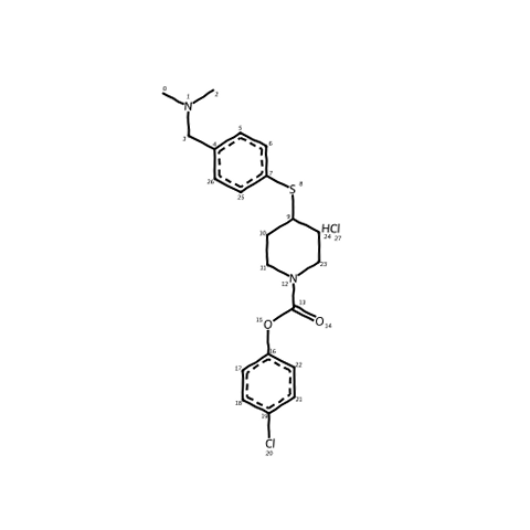 CN(C)Cc1ccc(SC2CCN(C(=O)Oc3ccc(Cl)cc3)CC2)cc1.Cl